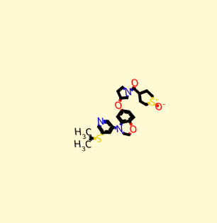 CC(C)Sc1cncc(N2CCOc3ccc(OC4CCN(C(=O)C5CC[S+]([O-])CC5)C4)cc32)c1